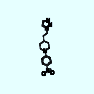 O=[N+]([O-])c1ccc(N2CCC(CCn3ccnn3)CC2)cc1